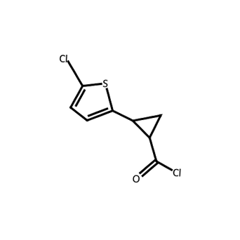 O=C(Cl)C1CC1c1ccc(Cl)s1